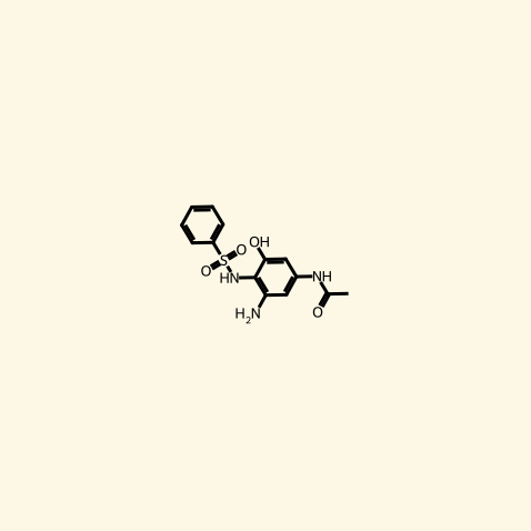 CC(=O)Nc1cc(N)c(NS(=O)(=O)c2ccccc2)c(O)c1